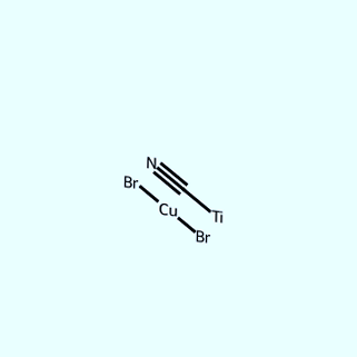 N#[C][Ti].[Br][Cu][Br]